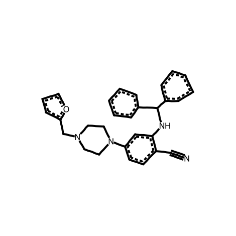 N#Cc1ccc(N2CCN(Cc3ccco3)CC2)cc1NC(c1ccccc1)c1ccccc1